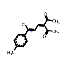 CC(=O)C(=C/C=C(\Cl)c1ccc(C)cc1)C(C)=O